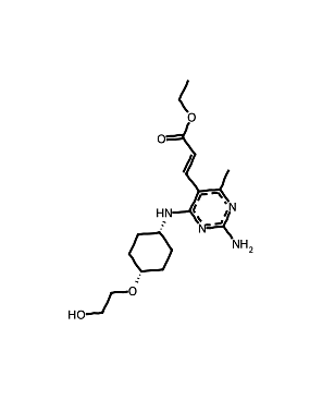 CCOC(=O)/C=C/c1c(C)nc(N)nc1N[C@H]1CC[C@@H](OCCO)CC1